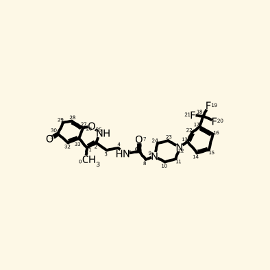 CC1=C(CCNC(=O)CN2CCN(c3cccc(C(F)(F)F)c3)CC2)NOC2=CCC(=O)C=C21